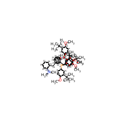 COc1ccc(P(c2ccc(OC)c(C(C)(C)C)c2)[C@]23[CH]4[CH]5[CH]6[C]2(Cc2ccccc2N(C)C)[Fe]56432789[CH]3[CH]2[C]7(Cc2ccccc2N(C)C)[C@]8(P(c2ccc(OC)c(C(C)(C)C)c2)c2ccc(OC)c(C(C)(C)C)c2)[CH]39)cc1C(C)(C)C